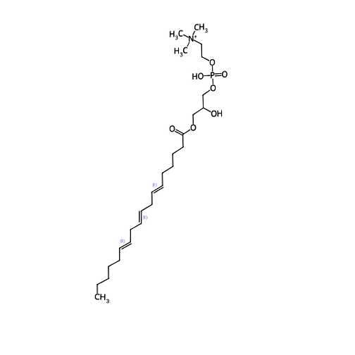 CCCCC/C=C/C/C=C/C/C=C/CCCCC(=O)OCC(O)COP(=O)(O)OCC[N+](C)(C)C